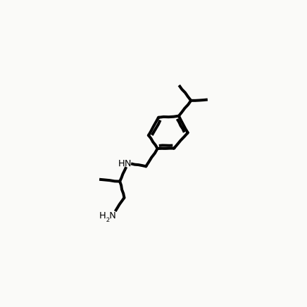 CC(CN)NCc1ccc(C(C)C)cc1